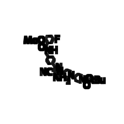 COc1ccc(F)cc1C(=O)NCc1ccc(-c2nn(C3CCN(C4CCN(C(=O)OC(C)(C)C)CC4)CC3)c(N)c2C#N)cc1